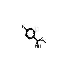 CSC(=N)c1ccc(F)cc1.I